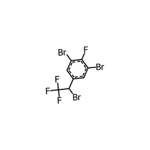 Fc1c(Br)cc(C(Br)C(F)(F)F)cc1Br